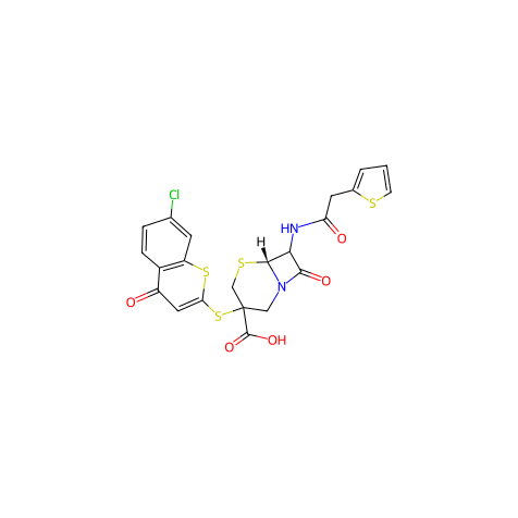 O=C(Cc1cccs1)NC1C(=O)N2CC(Sc3cc(=O)c4ccc(Cl)cc4s3)(C(=O)O)CS[C@H]12